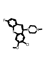 COc1cc2c(cc1Cl)C(N1CCN(C)CC1)=Cc1ccc(F)cc1S2